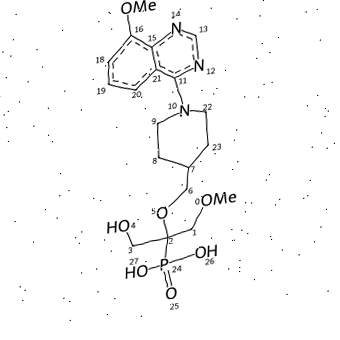 COCC(CO)(OCC1CCN(c2ncnc3c(OC)cccc23)CC1)P(=O)(O)O